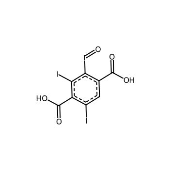 O=Ic1c(C(=O)O)cc(I)c(C(=O)O)c1I